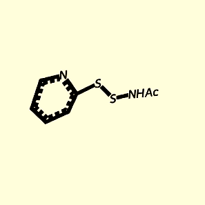 CC(=O)NSSc1ccccn1